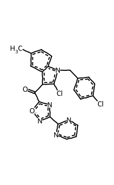 Cc1ccc2c(c1)c(C(=O)c1nc(-c3ncccn3)no1)c(Cl)n2Cc1ccc(Cl)cc1